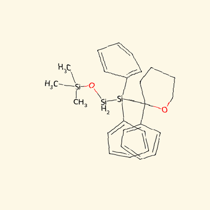 C[Si](C)(C)O[SiH2][Si](c1ccccc1)(c1ccccc1)C1(c2ccccc2)CCCCO1